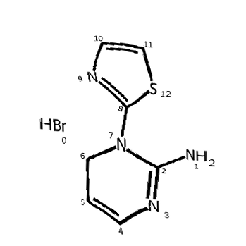 Br.NC1=NC=CCN1c1nccs1